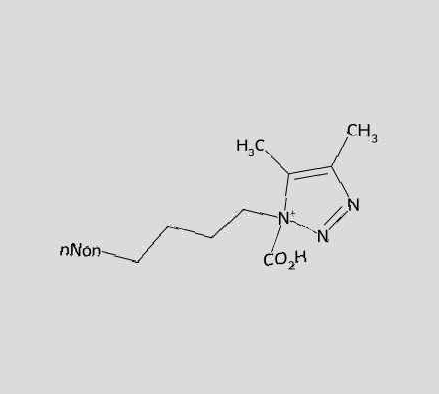 CCCCCCCCCCCCC[N+]1(C(=O)O)N=NC(C)=C1C